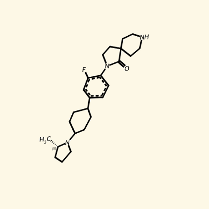 C[C@H]1CCCN1C1CCC(c2ccc(N3CCC4(CCNCC4)C3=O)c(F)c2)CC1